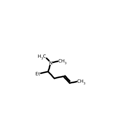 CC=CCC(CC)N(C)C